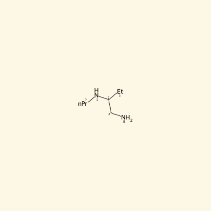 CCCNC(CC)CN